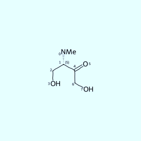 CN[C@@H](CO)C(=O)CO